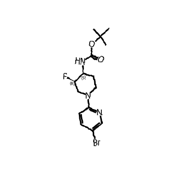 CC(C)(C)OC(=O)N[C@H]1CCN(c2ccc(Br)cn2)C[C@H]1F